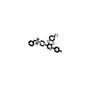 CCN1CCC(Oc2c(N3CCN(S(=O)(=O)Cc4ccccc4)CC3)cnn(-c3ccc(F)cc3)c2=O)CC1